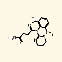 Cc1cccc(C)c1N(C(=O)CCC(N)=O)C1=NCCCS1